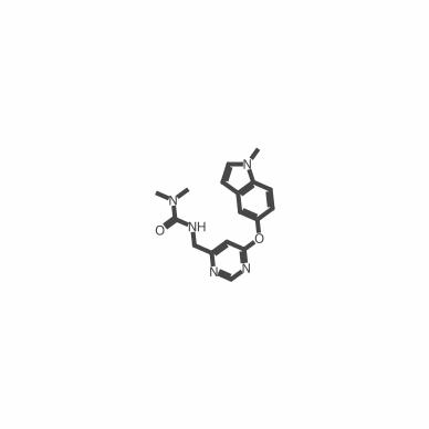 CN(C)C(=O)NCc1cc(Oc2ccc3c(ccn3C)c2)ncn1